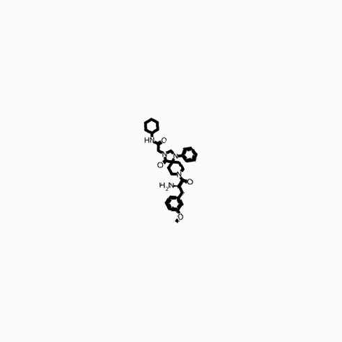 COc1cccc(C[C@@H](N)C(=O)N2CCC3(CC2)C(=O)N(CC(=O)NC2CCCCC2)CN3c2ccccc2)c1